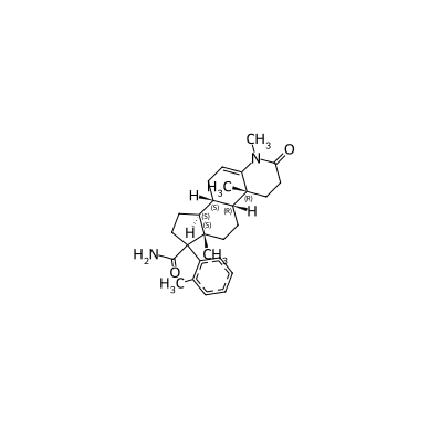 Cc1ccccc1C1(C(N)=O)CC[C@H]2[C@@H]3CC=C4N(C)C(=O)CC[C@]4(C)[C@@H]3CC[C@@]21C